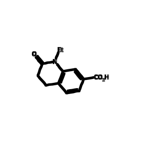 CCN1C(=O)CCc2ccc(C(=O)O)cc21